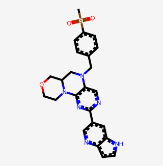 CS(=O)(=O)c1ccc(CN2CC3COCCN3c3nc(-c4cnc5cc[nH]c5c4)ncc32)cc1